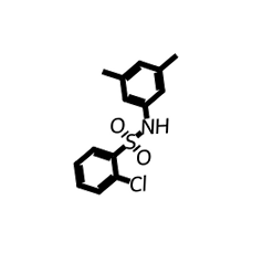 Cc1cc(C)cc(NS(=O)(=O)c2ccccc2Cl)c1